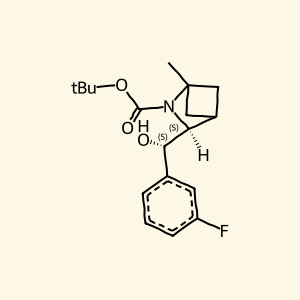 CC(C)(C)OC(=O)N1[C@H]([C@@H](O)c2cccc(F)c2)C2CC1(C)C2